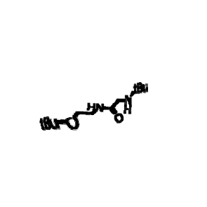 CC(C)(C)NCC(=O)NCCOC(C)(C)C